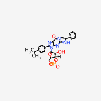 CC(C)c1ccc(-c2nc3c(=O)n4cc(-c5ccccc5)[nH]c4nc3n2[C@@H]2OC3CO[PH](=O)O[C@H]3[C@@H]2O)cc1